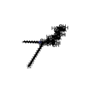 CCCCCCCCCCCCC/C=C/[C@@H](O)[C@H](CO[C@@H]1OC(CO)[C@@H](O[C@@H]2OC(CO)[C@H](O)[C@H](O[C@@H]3OC(CO)[C@@H](O)[C@H](O[C@@H]4OC(CO)[C@H](O)[C@H](O[C@@H]5OC(CO)[C@@H](O)[C@H](O)C5NC(C)=O)C4O)C3NC(C)=O)C2O)[C@H](O)C1O)NC(=O)CCCCCCCCCCCCCCCCCCCCC